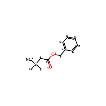 C[Si](C)(C#N)CC(=O)OCc1ccccc1